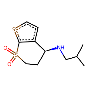 CC(C)CN[C@H]1CCS(=O)(=O)c2sccc21